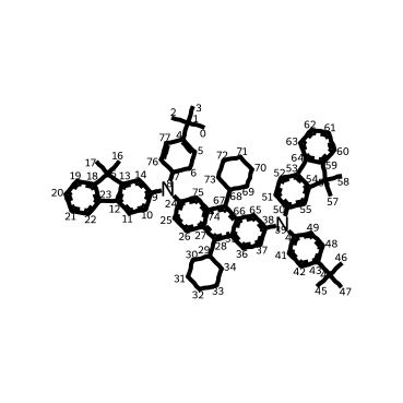 CC(C)(C)C1=CCC(N(c2ccc3c(c2)C(C)(C)c2ccccc2-3)c2ccc3c(C4CCCCC4)c4ccc(N(c5ccc(C(C)(C)C)cc5)c5ccc6c(c5)C(C)(C)c5ccccc5-6)cc4c(C4CCCCC4)c3c2)C=C1